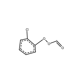 O=[C]OOc1ccccc1Cl